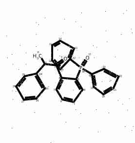 CC(C(=O)c1ccccc1P(=O)(c1ccccc1)c1ccccc1)c1ccccc1